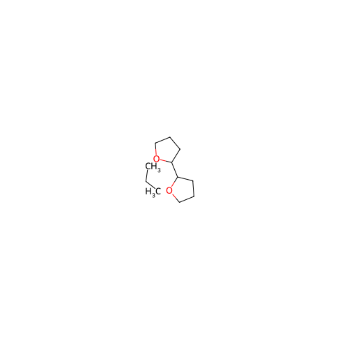 C1COC(C2CCCO2)C1.CCC